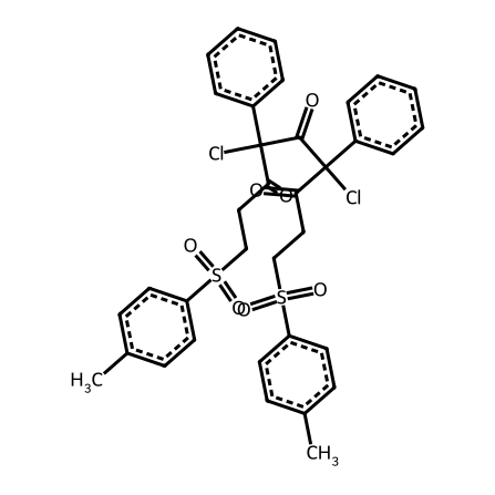 Cc1ccc(S(=O)(=O)CCC(=O)C(Cl)(C(=O)C(Cl)(C(=O)CCS(=O)(=O)c2ccc(C)cc2)c2ccccc2)c2ccccc2)cc1